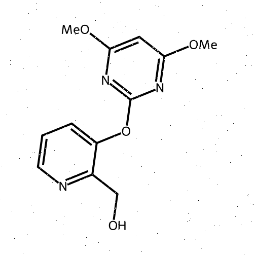 COc1cc(OC)nc(Oc2cccnc2CO)n1